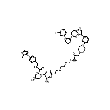 Cc1ncsc1-c1ccc(CNC(=O)[C@@H]2C[C@@H](O)CN2C(=O)[C@@H](NC(=O)CCOCCOCCNC(=O)CN2CCN(c3cccc(-c4cnc5ccc(N6CCC[C@@H]6c6cccc(F)c6)nn45)n3)CC2)C(C)(C)C)cc1